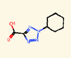 O=C(O)c1nnn(C2CCCCC2)n1